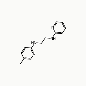 Cc1ccc(NCCNc2ccccn2)nc1